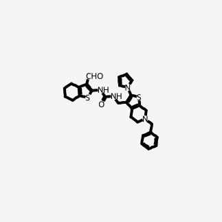 O=Cc1c(NC(=O)NCc2c(-n3cccc3)sc3c2CCN(Cc2ccccc2)C3)sc2c1CCCC2